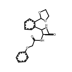 O=C(COc1ccccc1)NC1C(=O)NC1c1ccccc1C1OCCO1